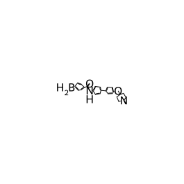 Bc1ccc(C(=O)Nc2ccc(-c3ccc(OC4CCN(C)CC4)cc3)cc2)cc1